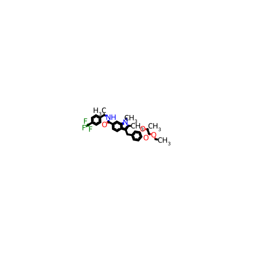 CCOC(=O)C(C)Oc1cccc(Cc2c(C)n(C)c3cc(C(=O)N[C@@H](C)c4ccc(C(F)(F)F)cc4)ccc23)c1